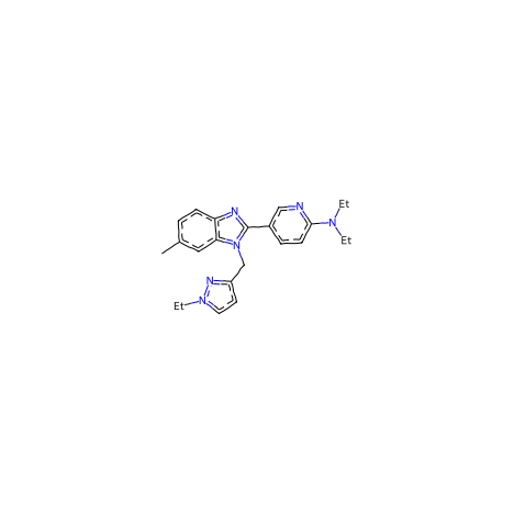 CCN(CC)c1ccc(-c2nc3ccc(C)cc3n2Cc2ccn(CC)n2)cn1